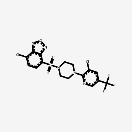 O=S(=O)(c1ccc(Cl)c2nonc12)N1CCN(c2ncc(C(F)(F)F)cc2Cl)CC1